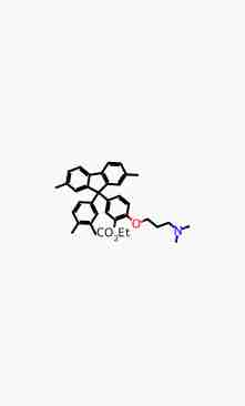 CCOC(=O)c1cc(C2(c3ccc(C)c(C)c3)c3cc(C)ccc3-c3ccc(C)cc32)ccc1OCCCN(C)C